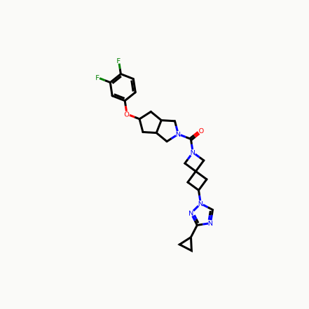 O=C(N1CC2CC(Oc3ccc(F)c(F)c3)CC2C1)N1CC2(CC(n3cnc(C4CC4)n3)C2)C1